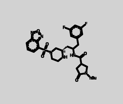 CCCCN1CC(C(=O)NC(Cc2cc(F)cc(F)c2)C[C@H]2CN(S(=O)(=O)c3cccc4nonc34)CCN2)CC1=O